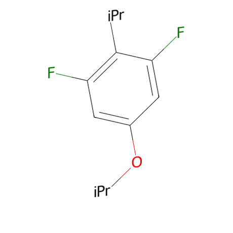 CC(C)Oc1cc(F)c(C(C)C)c(F)c1